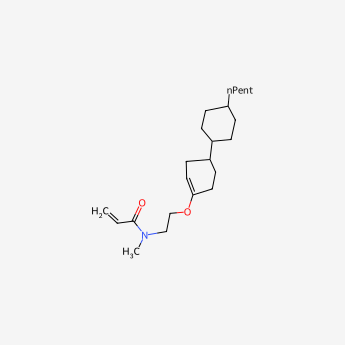 C=CC(=O)N(C)CCOC1=CCC(C2CCC(CCCCC)CC2)CC1